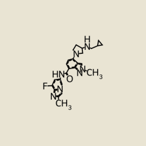 Cc1cn2cc(NC(=O)c3ccc(N4CCC(NCC5CC5)C4)c4cn(C)nc34)cc(F)c2n1